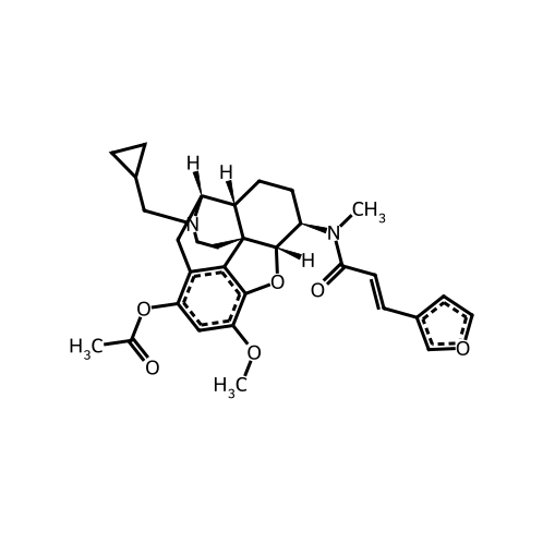 COc1cc(OC(C)=O)c2c3c1O[C@H]1[C@H](N(C)C(=O)/C=C/c4ccoc4)CC[C@H]4[C@@H](C2)N(CC2CC2)CC[C@@]341